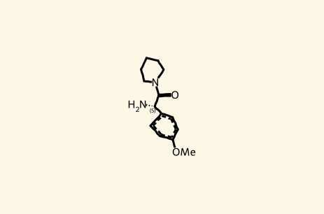 COc1ccc([C@H](N)C(=O)N2CCCCC2)cc1